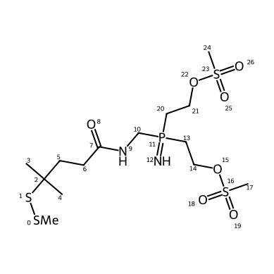 CSSC(C)(C)CCC(=O)NCP(=N)(CCOS(C)(=O)=O)CCOS(C)(=O)=O